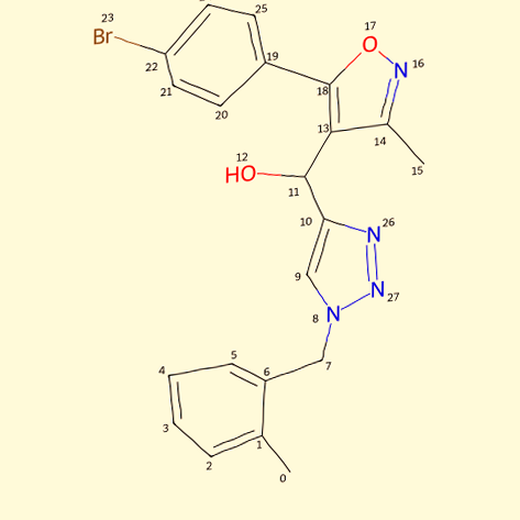 Cc1ccccc1Cn1cc(C(O)c2c(C)noc2-c2ccc(Br)cc2)nn1